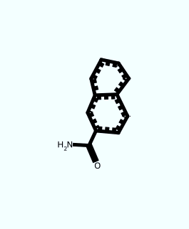 NC(=O)c1c[c]c2ccccc2c1